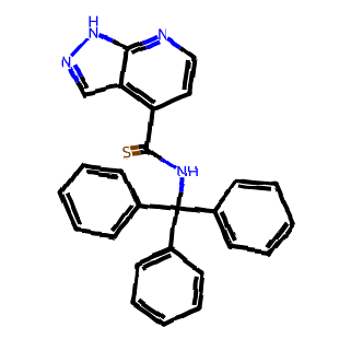 S=C(NC(c1ccccc1)(c1ccccc1)c1ccccc1)c1ccnc2[nH]ncc12